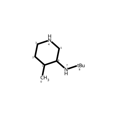 CC1CCNCC1NC(C)(C)C